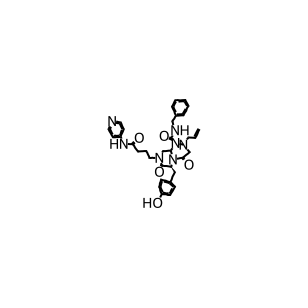 C=CCN1CC(=O)N2C(CN(CCCC(=O)Nc3ccncc3)C(=O)[C@@H]2Cc2ccc(O)cc2)N1C(=O)NCc1ccccc1